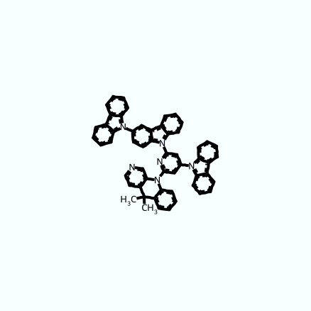 CC1(C)c2ccccc2N(c2cc(-n3c4ccccc4c4ccccc43)cc(-n3c4ccccc4c4cc(-n5c6ccccc6c6ccccc65)ccc43)n2)c2cnccc21